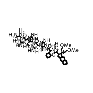 COCCN(CCOC)C1=c2cc3ccccc3cc2=CC1C(CO)C(=O)NC(C(=O)NC(NC(=N)N)C(=O)NC(NC(=N)N)C(=O)NC(NC(=N)N)C(=O)NC(NC(=N)N)C(=O)NC(N)C(N)=O)c1ccccc1